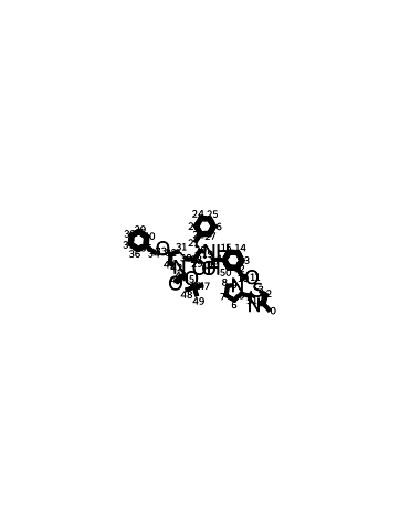 Cc1csc(C2CCCN2C(=O)c2cccc(C(=O)N[C@@H](Cc3ccccc3)[C@H](O)[C@H]3C[C@@H](OCc4ccccc4)CN3C(=O)OC(C)(C)C)c2)n1